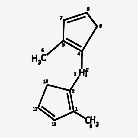 CC1=[C]([Hf][C]2=C(C)C=CC2)CC=C1